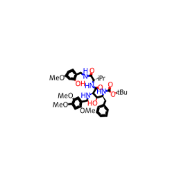 COc1ccc(CNC(=O)[C@@H](NC(=O)[C@H](NCc2cc(OC)c(OC)cc2OC)[C@H](O)[C@H](Cc2ccccc2)NC(=O)OC(C)(C)C)C(C)C)c(O)c1